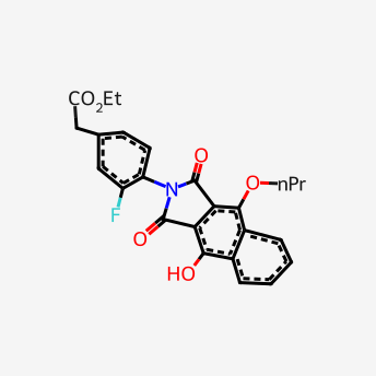 CCCOc1c2c(c(O)c3ccccc13)C(=O)N(c1ccc(CC(=O)OCC)cc1F)C2=O